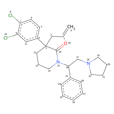 C=CCC1(c2ccc(Cl)c(Cl)c2)CCCN(C(CN2CCCC2)c2ccccc2)C1=O